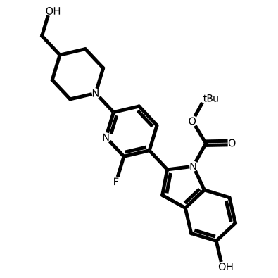 CC(C)(C)OC(=O)n1c(-c2ccc(N3CCC(CO)CC3)nc2F)cc2cc(O)ccc21